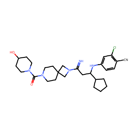 N#Cc1ccc(NC(CC(=N)N2CC3(CCN(C(=O)N4CCC(O)CC4)CC3)C2)C2CCCC2)cc1Cl